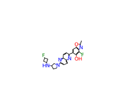 Cc1nc2c(F)c(O)c(-c3ccc4nc(N5CCC(NC6CC(F)C6)C5)ccc4n3)cc2o1